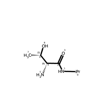 CC(C)NC(=O)[C@H](N)[C@H](C)O